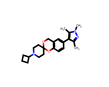 Cc1nn(C)c(C)c1-c1ccc2c(c1)COC1(CCN(C3CCC3)CC1)O2